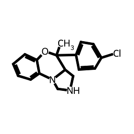 CC1(c2ccc(Cl)cc2)Oc2ccccc2N2CNCC21